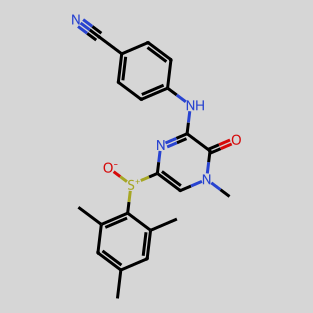 Cc1cc(C)c([S+]([O-])c2cn(C)c(=O)c(Nc3ccc(C#N)cc3)n2)c(C)c1